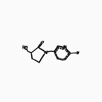 O=C1C(O)CCN1c1ccc(Br)nc1